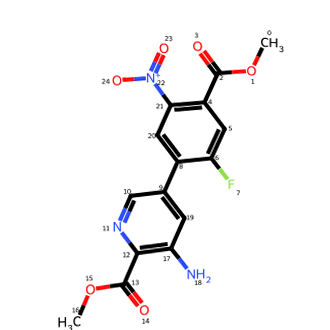 COC(=O)c1cc(F)c(-c2cnc(C(=O)OC)c(N)c2)cc1[N+](=O)[O-]